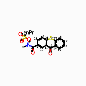 CCCS(=O)(=O)ON(C)C(=O)C1=CC2C(=O)c3ccccc3SC2C=C1